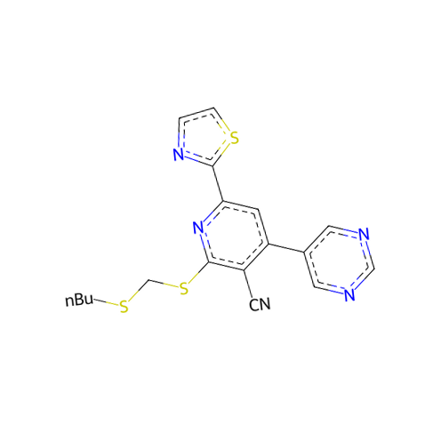 CCCCSCSc1nc(-c2nccs2)cc(-c2cncnc2)c1C#N